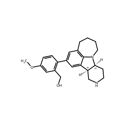 COc1ccc(-c2cc3c4c(c2)[C@@H]2CNCC[C@@H]2N4CCCC3)c(CO)c1